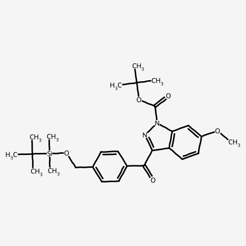 COc1ccc2c(C(=O)c3ccc(CO[Si](C)(C)C(C)(C)C)cc3)nn(C(=O)OC(C)(C)C)c2c1